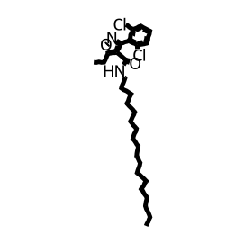 CCCCCCCCCCCCCCCCCCNC(=O)c1c(-c2c(Cl)cccc2Cl)noc1CC